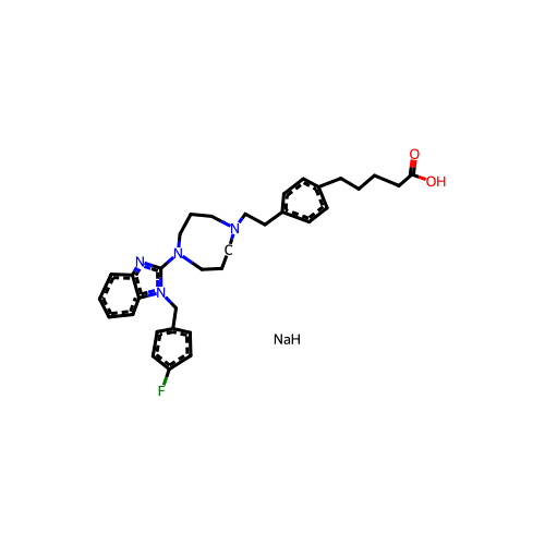 O=C(O)CCCCc1ccc(CCN2CCCN(c3nc4ccccc4n3Cc3ccc(F)cc3)CCC2)cc1.[NaH]